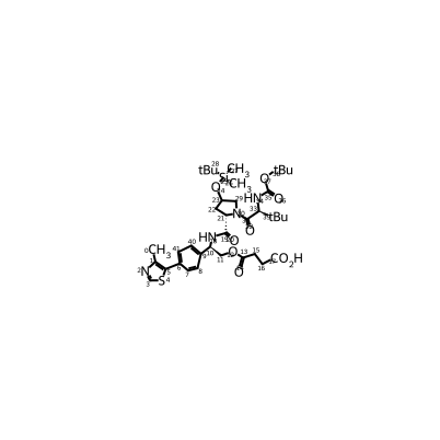 Cc1ncsc1-c1ccc([C@H](COC(=O)CCC(=O)O)NC(=O)[C@@H]2CC(O[Si](C)(C)C(C)(C)C)CN2C(=O)[C@@H](NC(=O)OC(C)(C)C)C(C)(C)C)cc1